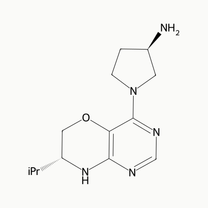 CC(C)[C@@H]1COc2c(ncnc2N2CC[C@@H](N)C2)N1